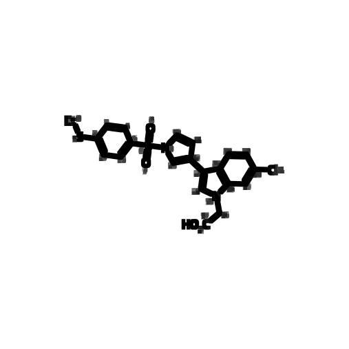 CCSc1ccc(S(=O)(=O)n2ccc(-c3cn(CC(=O)O)c4cc(Cl)ccc34)c2)cc1